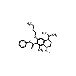 CCCCOc1cc2c(c(C)c1C(=O)Oc1ccccc1)N(C)CCC2N(C)C